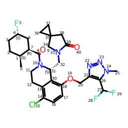 C[C@H]1CC[C@H](F)C[C@H]1C(=O)N1CCc2c(Cl)ccc(OCc3nnn(C)c3C(F)F)c2[C@H]1CN1CC2(CC2)CC1=O